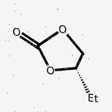 CC[C@H]1COC(=O)O1